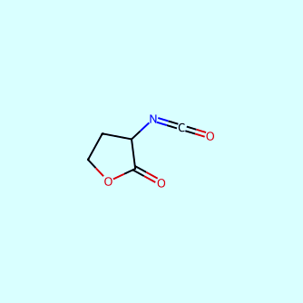 O=C=NC1CCOC1=O